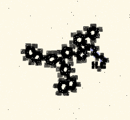 C\C=C/C=C\C=C/n1c2cccc(-c3cccc(N(c4ccc(-c5ccc6ccccc6c5)cc4)c4ccc(-c5cccc6ccccc56)cc4)c3)c2c2cccc(-c3ccccc3)c21